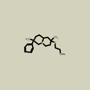 COCCOC1(C)CCN2CC(C)(c3ccccc3)CCC2C1